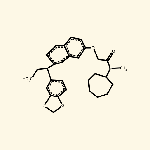 CN(C(=O)COc1ccc2ccc(C(CC(=O)O)c3ccc4c(c3)OCO4)cc2c1)C1CCCCCC1